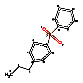 CCCc1ccc(S(=O)(=O)c2ccccc2)cc1